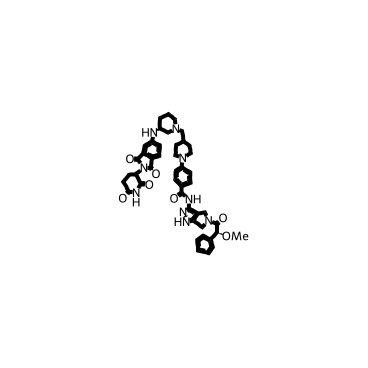 CO[C@@H](C(=O)N1Cc2[nH]nc(NC(=O)c3ccc(N4CCC(CN5CCC[C@H](Nc6ccc7c(c6)C(=O)N(C6CCC(=O)NC6=O)C7=O)C5)CC4)cc3)c2C1)c1ccccc1